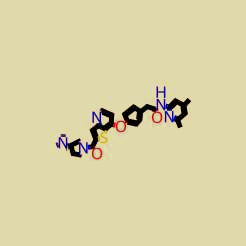 Cc1cc(C)nc(NC(=O)Cc2ccc(Oc3ccnc4cc(C(=O)N5CC[C@@H](N(C)C)C5)sc34)cc2)c1